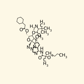 CCCCOC(C)(C)C(=O)Nc1ncnn2c([C@]3(C#N)O[C@H](COC(=O)CC4CCCCC4)[C@@H](OC(=O)[C@@H](N)C(C)(C)C)[C@@]3(C)F)ccc12